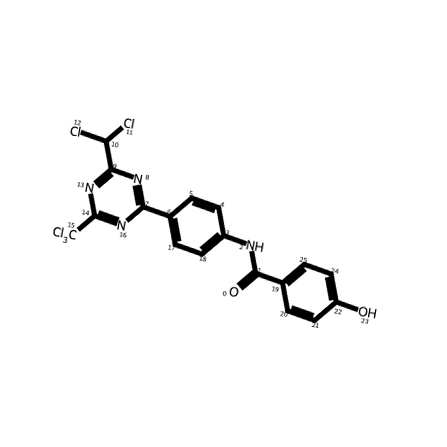 O=C(Nc1ccc(-c2nc(C(Cl)Cl)nc(C(Cl)(Cl)Cl)n2)cc1)c1ccc(O)cc1